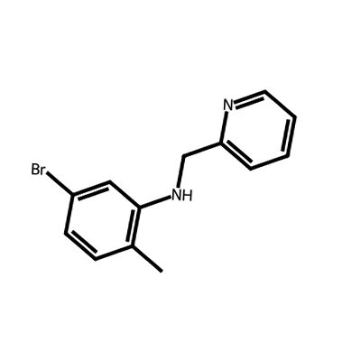 Cc1ccc(Br)cc1NCc1ccccn1